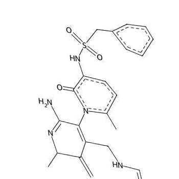 C=C1C(CNC=O)=C(n2c(C)ccc(NS(=O)(=O)Cc3ccccc3)c2=O)C(N)=NC1C